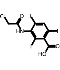 O=C(CCl)Nc1c(I)cc(I)c(C(=O)O)c1I